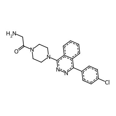 NCC(=O)N1CCN(c2nnc(-c3ccc(Cl)cc3)c3ccccc23)CC1